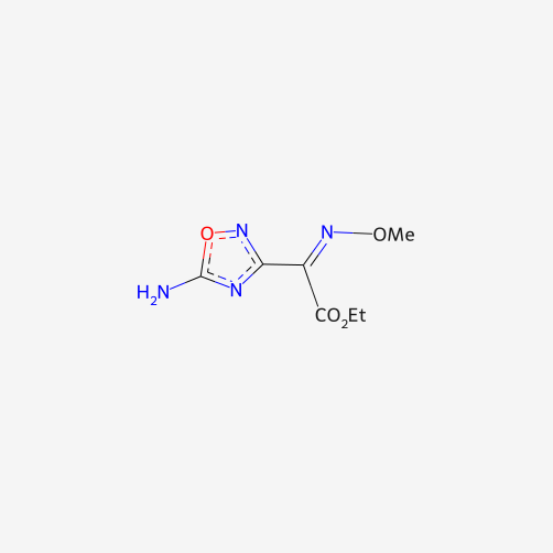 CCOC(=O)C(=NOC)c1noc(N)n1